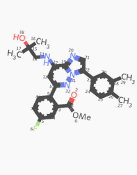 COC(=O)c1cc(F)ccc1-c1cc(NCC(C)(C)O)c2ncc(-c3ccc(C)c(C)c3)n2n1